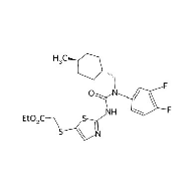 CCOC(=O)CSc1cnc(NC(=O)N(C[C@H]2CC[C@H](C)CC2)c2ccc(F)c(F)c2)s1